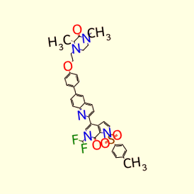 Cc1ccc(S(=O)(=O)n2ccc3c(-c4ccc5cc(-c6ccc(OCCN7CCN(C)C(=O)[C@H]7C)cc6)ccc5n4)cn(C(F)F)c(=O)c32)cc1